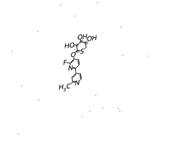 Cc1cc(-c2ccc(O[C@@H]3SC[C@@H](O)[C@H](O)[C@H]3O)c(F)n2)ccn1